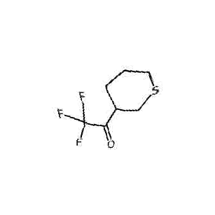 O=C(C1CCCSC1)C(F)(F)F